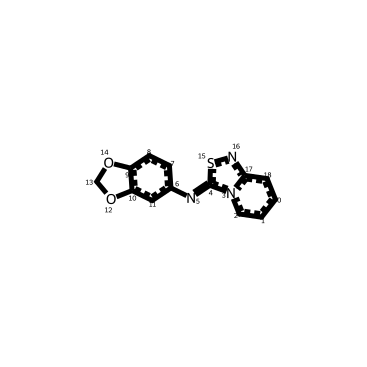 c1ccn2c(=Nc3ccc4c(c3)OCO4)snc2c1